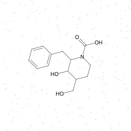 O=C(O)N1CCC(CO)C(O)C1Cc1ccccc1